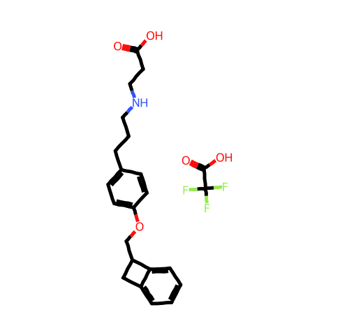 O=C(O)C(F)(F)F.O=C(O)CCNCCCc1ccc(OCC2Cc3ccccc32)cc1